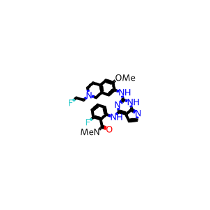 CNC(=O)c1c(F)cccc1Nc1nc(Nc2cc3c(cc2OC)CCN(CCF)C3)[nH]c2nccc1-2